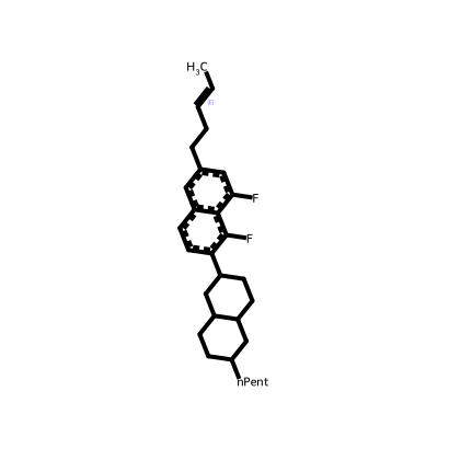 C/C=C/CCc1cc(F)c2c(F)c(C3CCC4CC(CCCCC)CCC4C3)ccc2c1